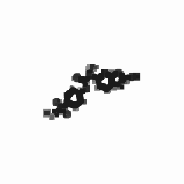 CC(C)N(C(=O)Oc1ccc(S(N)(=O)=O)cc1)c1ccc2nc(S)sc2n1